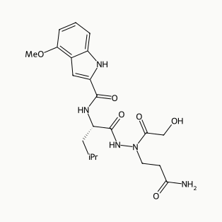 COc1cccc2[nH]c(C(=O)N[C@@H](CC(C)C)C(=O)NN(CCC(N)=O)C(=O)CO)cc12